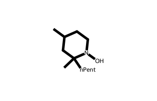 CCCCCC1(C)CC(C)CCN1O